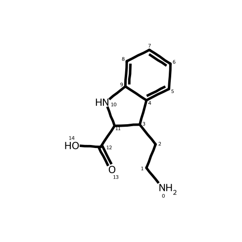 NCCC1c2ccccc2NC1C(=O)O